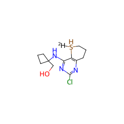 [2H][SH]1CCCc2nc(Cl)nc(NC3(CO)CCC3)c21